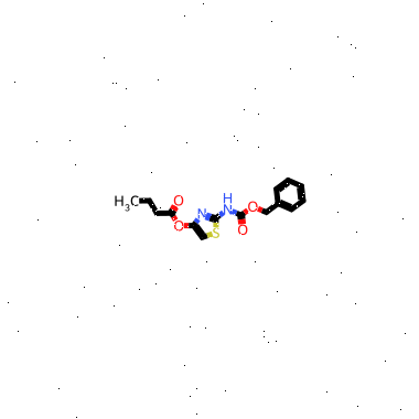 CCCC(=O)Oc1csc(NC(=O)OCc2ccccc2)n1